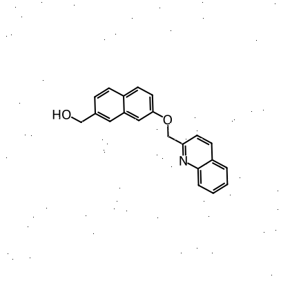 OCc1ccc2ccc(OCc3ccc4ccccc4n3)cc2c1